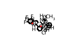 COC(=O)N[C@@H](CCC(N)=O)C(=O)NC[C@]1(O)C2CC1C[C@@H](S(=O)(=O)c1cc(C(=O)Nc3cc(F)c(F)c(F)c3)ccc1Cl)C2